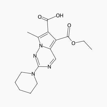 CCOC(=O)c1c(C(=O)O)c(C)n2nc(N3CCCCC3)ncc12